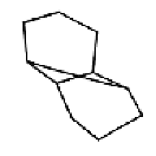 C1CC2C3CCCC2C3C1